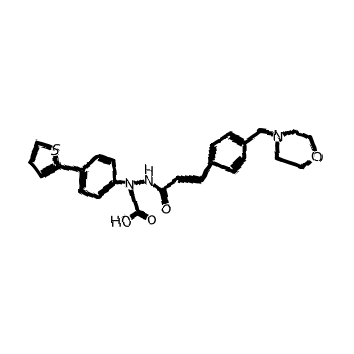 O=C(C=Cc1ccc(CN2CCOCC2)cc1)NN(C(=O)O)c1ccc(-c2cccs2)cc1